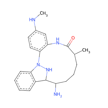 CNc1ccc2c(c1)NC(=O)C(C)CCCC(N)C1NN2c2ccccc21